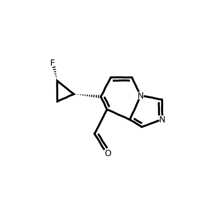 O=Cc1c([C@@H]2C[C@@H]2F)ccn2cncc12